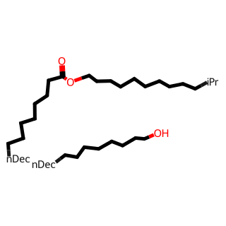 CCCCCCCCCCCCCCCCCC(=O)OCCCCCCCCCCC(C)C.CCCCCCCCCCCCCCCCCCO